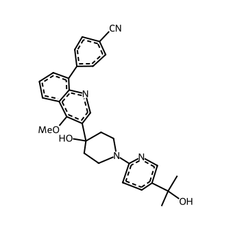 COc1c(C2(O)CCN(c3ccc(C(C)(C)O)cn3)CC2)cnc2c(-c3ccc(C#N)cc3)cccc12